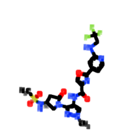 Cn1cc(NC(=O)c2coc(-c3ccnc(NCC(F)(F)F)c3)n2)c(N2C[C@@H](NS(C)(=O)=O)CC2=O)n1